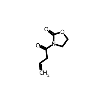 C=CCC(=O)N1CCOC1=O